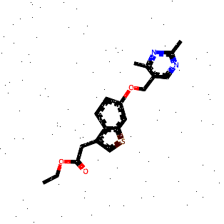 CCOC(=O)Cc1csc2cc(OCc3cnc(C)nc3C)ccc12